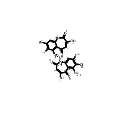 O=c1[nH]c2cc(Br)c(F)c([N+](=O)[O-])c2c(=O)cc1O.O=c1cc(O)c(=O)c2c([N+](=O)[O-])c(Cl)c(F)cc2[nH]1